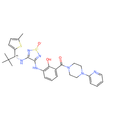 Cc1ccc([C@H](Nc2n[s+]([O-])nc2Nc2cccc(C(=O)N3CCN(c4ccccn4)CC3)c2O)C(C)(C)C)s1